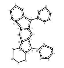 c1ccc(-n2c3ccccc3c3cc4c5c(p(-c6ccccc6)c4cc32)CCCC5)cc1